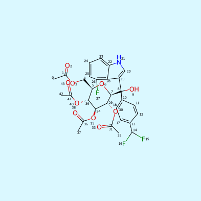 CC(=O)OC[C@H]1O[C@@H](C(O)(c2ccc(C(F)F)cc2)c2c[nH]c3cccc(F)c23)[C@H](OC(C)=O)[C@@H](OC(C)=O)[C@@H]1OC(C)=O